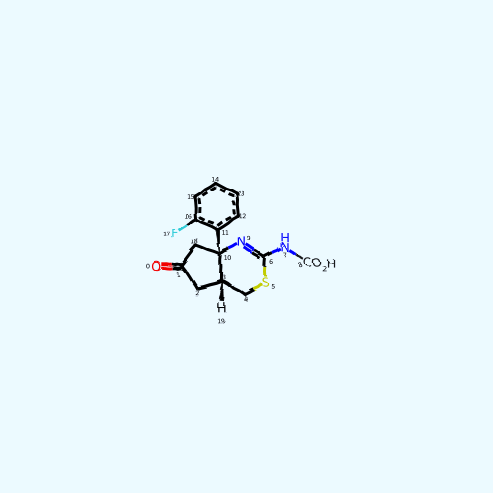 O=C1C[C@H]2CSC(NC(=O)O)=N[C@@]2(c2ccccc2F)C1